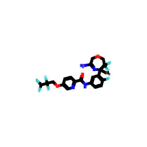 CC1(c2cc(NC(=O)c3ccc(OCC(F)(F)C(F)F)cn3)ccc2F)N=C(N)COCC1(F)F